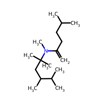 C=C(CCC(C)C)N(C)C(C)(C)CC(C)C(C)C